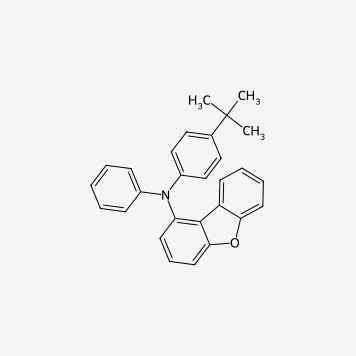 CC(C)(C)c1ccc(N(c2ccccc2)c2cccc3oc4ccccc4c23)cc1